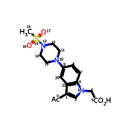 CC(=O)c1cn(CC(=O)O)c2ccc(N3CCN(S(C)(=O)=O)CC3)cc12